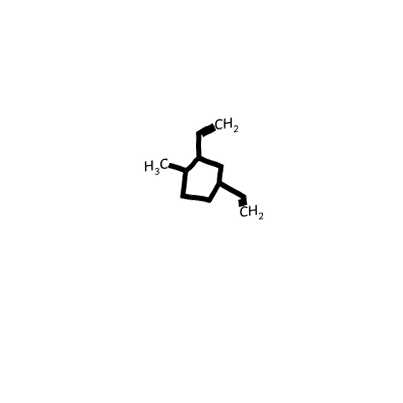 C=CC1CCC(C)C(C=C)C1